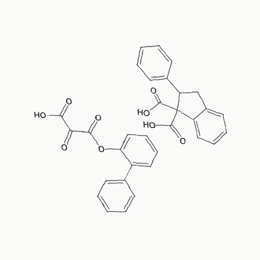 O=C(O)C(=O)C(=O)Oc1ccccc1-c1ccccc1.O=C(O)C1(C(=O)O)c2ccccc2CC1c1ccccc1